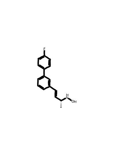 C[C@H](C=Cc1cccc(-c2ccc(F)cc2)c1)NO